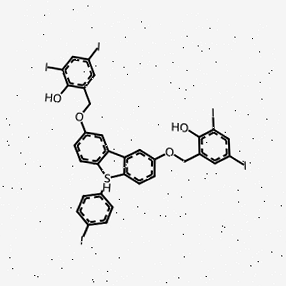 Oc1c(I)cc(I)cc1COc1ccc2c(c1)-c1cc(OCc3cc(I)cc(I)c3O)ccc1[SH]2c1ccc(I)cc1